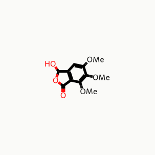 COc1cc2c(c(OC)c1OC)C(=O)OC2O